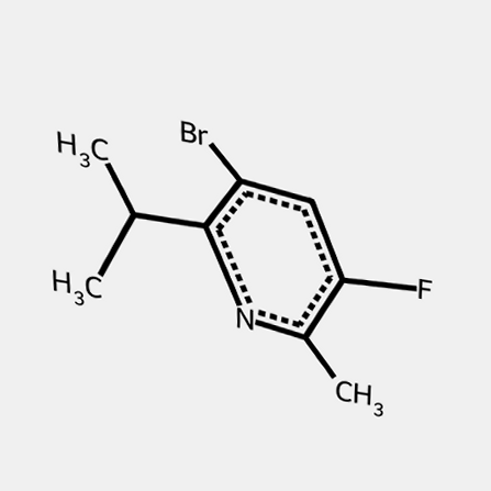 Cc1nc(C(C)C)c(Br)cc1F